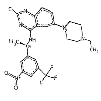 CCN1CCN(c2ccc3nc(Cl)nc(N[C@H](C)c4cc([N+](=O)[O-])cc(C(F)(F)F)c4)c3c2)CC1